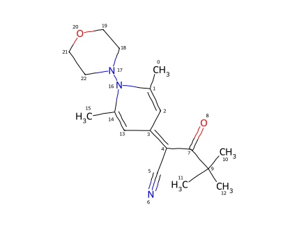 CC1=CC(=C(C#N)C(=O)C(C)(C)C)C=C(C)N1N1CCOCC1